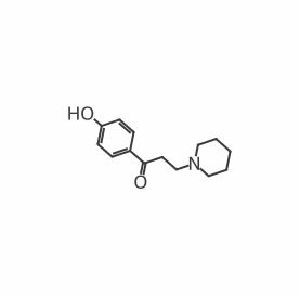 O=C(CCN1CCCCC1)c1ccc(O)cc1